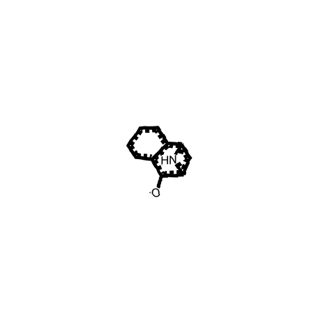 [O]c1c2cc([nH]2)c2ccccc12